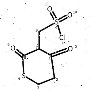 O=C1CCSC(=O)C1CS(=O)(=O)Cl